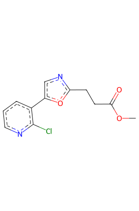 COC(=O)CCc1ncc(-c2cccnc2Cl)o1